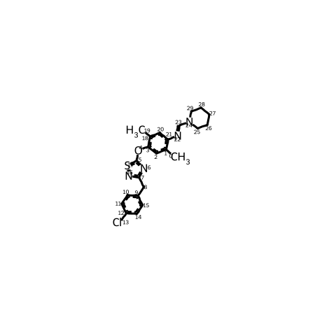 Cc1cc(Oc2nc(Cc3ccc(Cl)cc3)ns2)c(C)cc1N=CN1CCCCC1